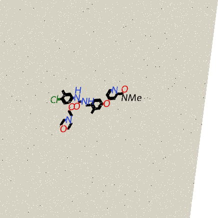 CNC(=O)c1cc(Oc2ccc(CNC(=O)Nc3cc(C)c(Cl)cc3OCCN3CCOCC3)c(C)c2)ccn1